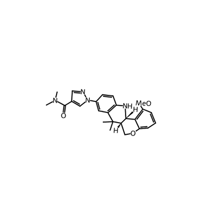 COc1cccc2c1[C@H]1Nc3ccc(-n4cc(C(=O)N(C)C)cn4)cc3C(C)(C)[C@H]1CO2